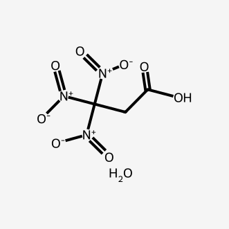 O.O=C(O)CC([N+](=O)[O-])([N+](=O)[O-])[N+](=O)[O-]